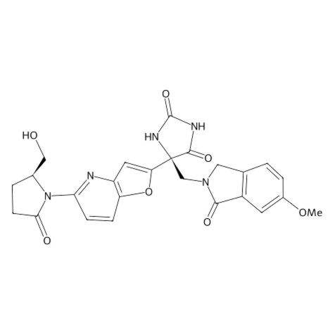 COc1ccc2c(c1)C(=O)N(C[C@@]1(c3cc4nc(N5C(=O)CC[C@H]5CO)ccc4o3)NC(=O)NC1=O)C2